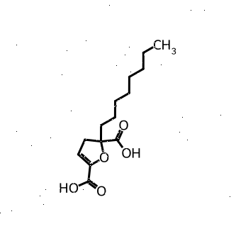 CCCCCCCCC1(C(=O)O)CC=C(C(=O)O)O1